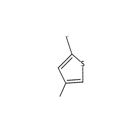 [CH2]c1cc(C)cs1